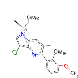 COC[C@H](C)n1cc(Cl)c2nc(-c3cccc(OC(F)(F)F)c3OC)c(C)cc21